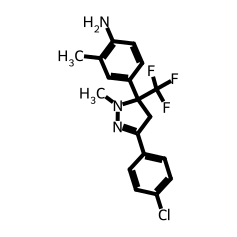 Cc1cc(C2(C(F)(F)F)CC(c3ccc(Cl)cc3)=NN2C)ccc1N